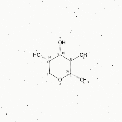 C[C@@H]1OC[C@H](O)[C@H](O)C1O